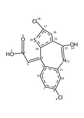 O=C(O)C=C1c2ccc(Cl)cc2N=C(O)c2cc(Cl)sc21